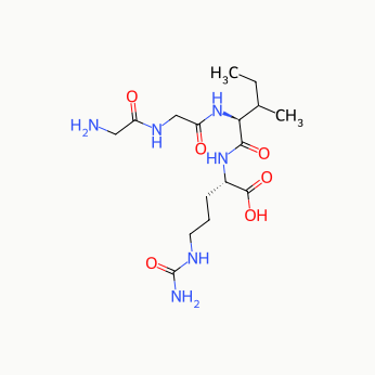 CCC(C)[C@H](NC(=O)CNC(=O)CN)C(=O)N[C@@H](CCCNC(N)=O)C(=O)O